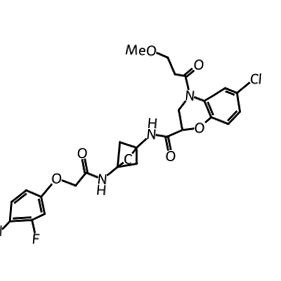 COCCC(=O)N1CC(C(=O)NC23CC(NC(=O)COc4ccc(Cl)c(F)c4)(C2)C3)Oc2ccc(Cl)cc21